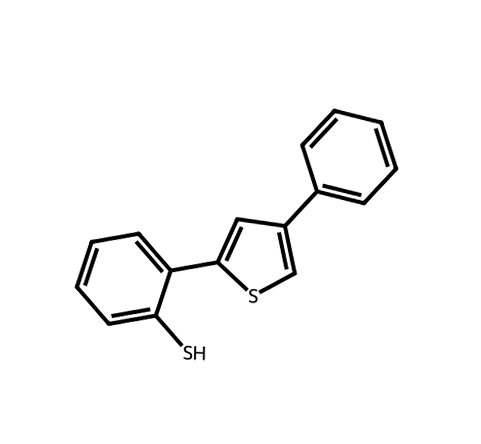 Sc1ccccc1-c1cc(-c2ccccc2)cs1